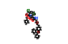 C=C(CCl)C(C(=O)OCc1ccccc1)N1C(=O)C(NC(=O)CCOCCc2ccc(OC(c3ccccc3)c3ccccc3)cc2)C1Cl